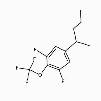 CCCC(C)c1cc(F)c(OC(F)(F)F)c(F)c1